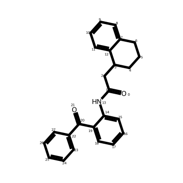 O=C(CC1CCCc2ccccc21)Nc1ccccc1C(=O)c1ccccc1